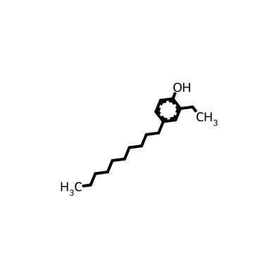 CCCCCCCCCCc1ccc(O)c(CC)c1